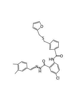 Cc1ccc(/C=N/NC(=O)c2cc(Cl)ccc2NC(=O)c2cccc(CSCc3ccco3)c2)cc1C